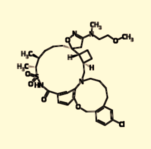 COCCN(C)C1=NO[C@@]2(CCC[C@H](C)[C@@H](C)S(=O)(=O)NC(=O)c3ccc4c(c3)N(CCCCc3cc(Cl)ccc3CO4)C[C@@H]3CC[C@H]32)C1